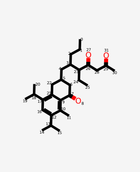 CCCC(CC1CC(=O)c2c(C)c(C(C)C)cc(C(C)C)c2C1)C(CC)C(=O)CC(C)=O